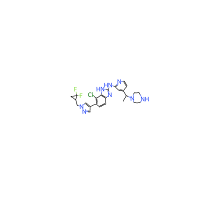 CC(c1ccnc(Nc2nc3ccc(-c4cnn(CC5CC5(F)F)c4)c(Cl)c3[nH]2)c1)N1CCNCC1